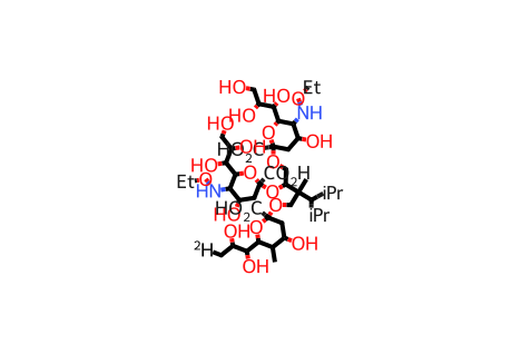 [2H]CC(O)C(O)C1OC(OCC(C)(C(COC2(C(=O)O)CC(O)C(NOCC)C(C(O)C(O)CO)O2)OC2(C(=O)O)CC(O)C(NOCC)C(C(O)C(O)CO)O2)C(C(C)C)C(C)C)(C(=O)O)CC(O)C1C